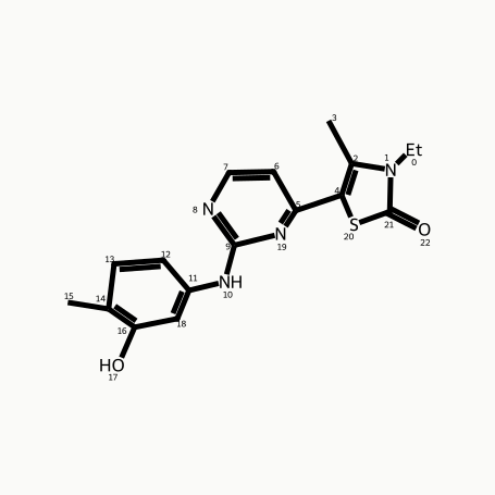 CCn1c(C)c(-c2ccnc(Nc3ccc(C)c(O)c3)n2)sc1=O